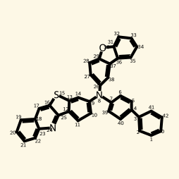 c1ccc(-c2ccc(N(c3ccc4c(c3)sc3cc5ccccc5nc34)c3ccc4oc5ccccc5c4c3)cc2)cc1